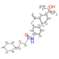 C=C(C)c1cc(C(O)(C(F)(F)F)C(F)(F)F)ccc1-c1ccc(NC(=O)CCCC2CCCCC2)cc1